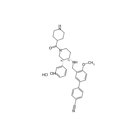 COc1ccc(-c2ccc(C#N)cc2)cc1CN[C@H]1CCN(C(=O)C2CCNCC2)C[C@H]1c1ccccc1.Cl.Cl